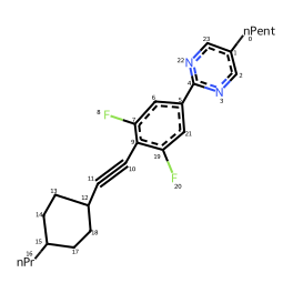 CCCCCc1cnc(-c2cc(F)c(C#CC3CCC(CCC)CC3)c(F)c2)nc1